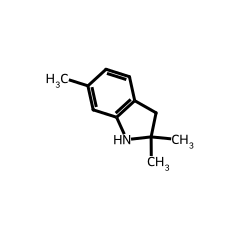 Cc1ccc2c(c1)NC(C)(C)C2